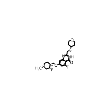 CN1CC[C@@H](COc2cc(F)c3c(=O)[nH]c(CSC4CCOCC4)nc3c2)[C@H](F)C1